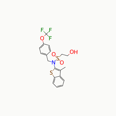 Cc1c(N(Cc2ccc(OC(F)(F)F)cc2)S(=O)(=O)CCO)sc2ccccc12